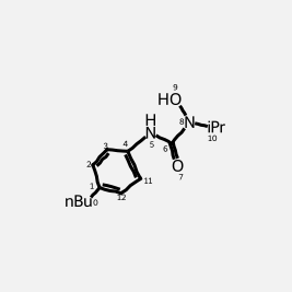 CCCCc1ccc(NC(=O)N(O)C(C)C)cc1